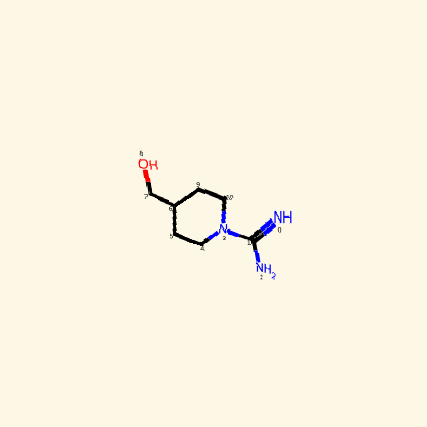 N=C(N)N1CCC(CO)CC1